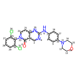 O=c1c2cnc(Nc3ccc(N4CCOCC4)cc3)nc2ccn1-c1c(Cl)cccc1Cl